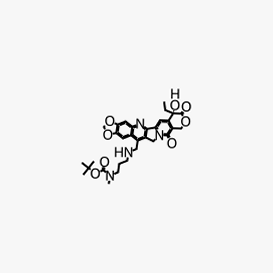 CC[C@@]1(O)C(=O)OCc2c1cc1n(c2=O)Cc2c-1nc1cc3c(cc1c2CNCCCN(C)C(=O)OC(C)(C)C)OCO3